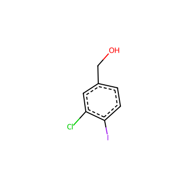 OCc1ccc(I)c(Cl)c1